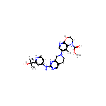 Cc1c(N2CCc3cnc(Nc4ccnc(C(C)(C)O)c4)nc3C2)cnc2c1N(C(=O)OC(C)(C)C)CCO2